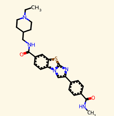 CCN1CCC(CNC(=O)c2ccc3c(c2)sc2nc(-c4ccc(C(=O)NC)cc4)cn23)CC1